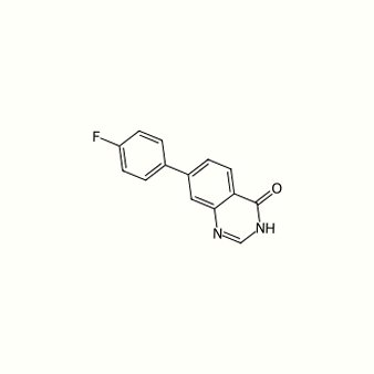 O=c1[nH]cnc2cc(-c3ccc(F)cc3)ccc12